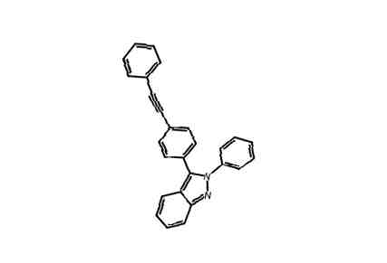 C(#Cc1ccc(-c2c3ccccc3nn2-c2ccccc2)cc1)c1ccccc1